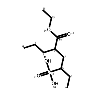 CCCC(CC(CC)P(=O)(O)O)C(=O)OCC